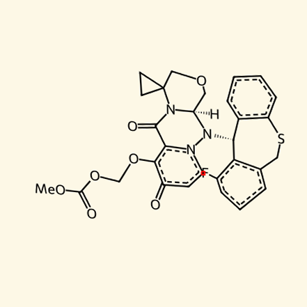 COC(=O)OCOc1c2n(ccc1=O)N([C@@H]1c3ccccc3SCc3cccc(F)c31)[C@@H]1COCC3(CC3)N1C2=O